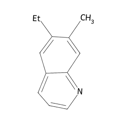 CCc1cc2cccnc2cc1C